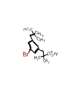 CC(C)(Cc1cc(Br)cc(CC(C)(C)C(=O)O)c1)C(=O)O